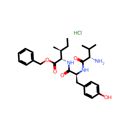 CC[C@H](C)[C@H](NC(=O)[C@H](Cc1ccc(O)cc1)NC(=O)[C@@H](N)C(C)C)C(=O)OCc1ccccc1.Cl